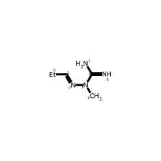 CCC=NN(C)C(=N)N